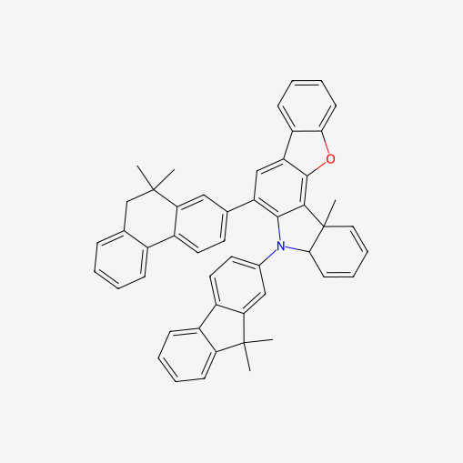 CC1(C)Cc2ccccc2-c2ccc(-c3cc4c(oc5ccccc54)c4c3N(c3ccc5c(c3)C(C)(C)c3ccccc3-5)C3C=CC=CC43C)cc21